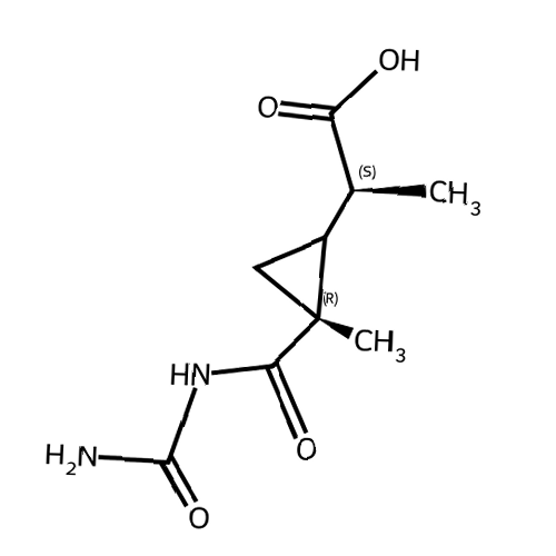 C[C@H](C(=O)O)C1C[C@@]1(C)C(=O)NC(N)=O